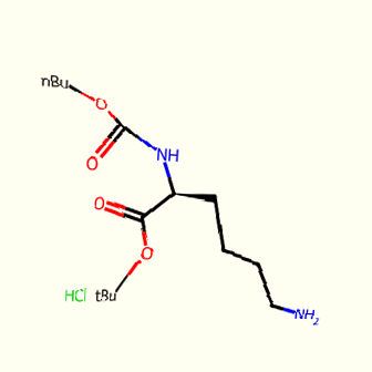 CCCCOC(=O)N[C@@H](CCCCN)C(=O)OC(C)(C)C.Cl